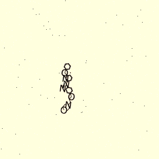 [c]1ccc(-n2cnc3cc(OCCN4CCOCC4)ccc32)nc1Oc1ccccc1